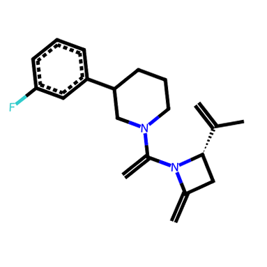 C=C(C)[C@@H]1CC(=C)N1C(=C)N1CCCC(c2cccc(F)c2)C1